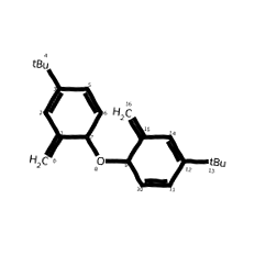 C=C1C=C(C(C)(C)C)C=CC1OC1C=CC(C(C)(C)C)=CC1=C